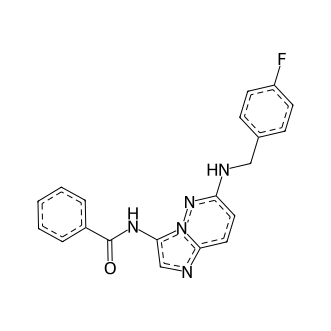 O=C(Nc1cnc2ccc(NCc3ccc(F)cc3)nn12)c1ccccc1